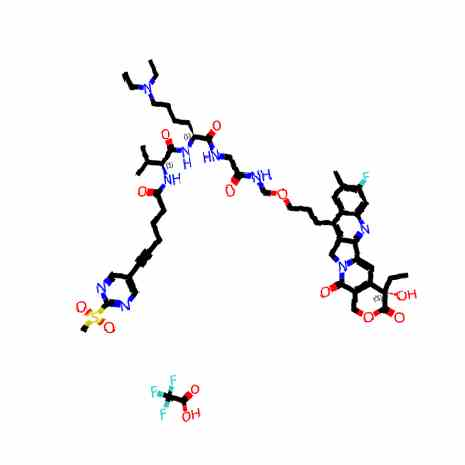 CCN(CC)CCCC[C@H](NC(=O)[C@@H](NC(=O)CCCC#Cc1cnc(S(C)(=O)=O)nc1)C(C)C)C(=O)NCC(=O)NCOCCCc1c2c(nc3cc(F)c(C)cc13)-c1cc3c(c(=O)n1C2)COC(=O)[C@]3(O)CC.O=C(O)C(F)(F)F